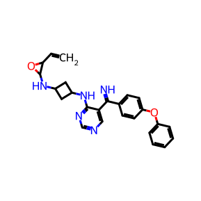 C=CC1OC1NC1CC(Nc2ncncc2C(=N)c2ccc(Oc3ccccc3)cc2)C1